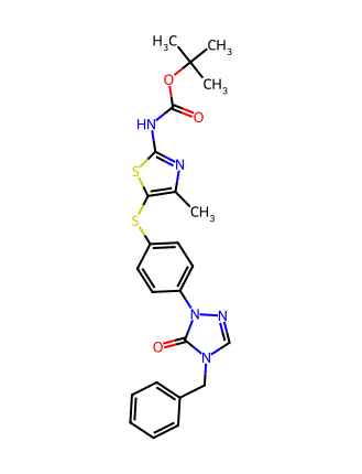 Cc1nc(NC(=O)OC(C)(C)C)sc1Sc1ccc(-n2ncn(Cc3ccccc3)c2=O)cc1